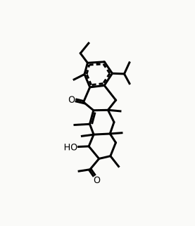 CCc1cc(C(C)C)c2c(c1C)C(=O)C1=C(C)C3(C)C(O)C(C(C)=O)C(C)CC3(C)CC1(C)C2